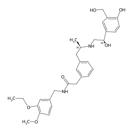 CCOc1cc(CNC(=O)Cc2cccc(C[C@@H](C)NC[C@H](O)c3ccc(O)c(CO)c3)c2)ccc1OC